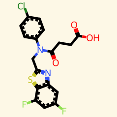 O=C(O)CCC(=O)N(Cc1nc2cc(F)cc(F)c2s1)c1ccc(Cl)cc1